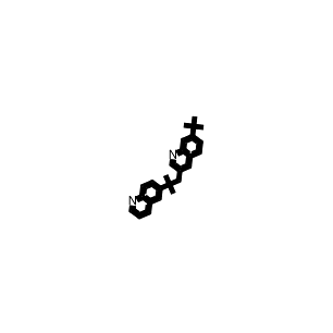 CC(C)(C)c1ccc2cc(CC(C)(C)c3ccc4ncccc4c3)cnc2c1